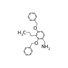 CC[CH]c1c(OCc2ccccc2)ccc(CN)c1OCc1ccccc1